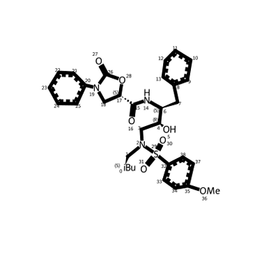 CC[C@H](C)CN(C[C@@H](O)[C@H](Cc1ccccc1)NC(=O)[C@@H]1CN(c2ccccc2)C(=O)O1)S(=O)(=O)c1ccc(OC)cc1